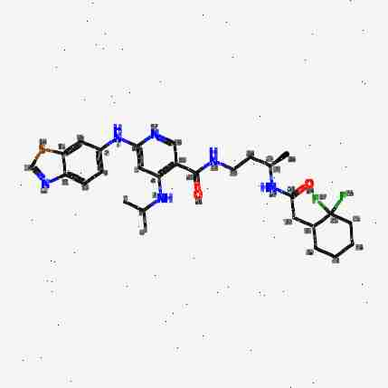 CC(C)Nc1cc(Nc2ccc3ncsc3c2)ncc1C(=O)NCC[C@@H](C)NC(=O)CC1CCCCC1(F)F